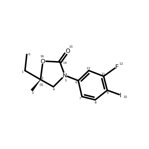 CC[C@@]1(C)CN(c2ccc(I)c(F)c2)C(=O)O1